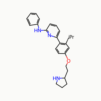 CC(C)c1cc(OCCC2CCCN2)ccc1-c1cccc(Nc2ccccc2)n1